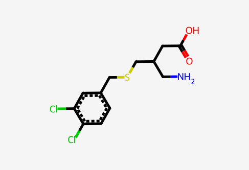 NCC(CSCc1ccc(Cl)c(Cl)c1)CC(=O)O